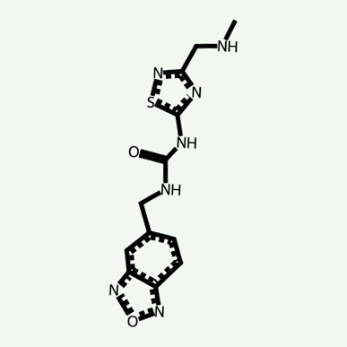 CNCc1nsc(NC(=O)NCc2ccc3nonc3c2)n1